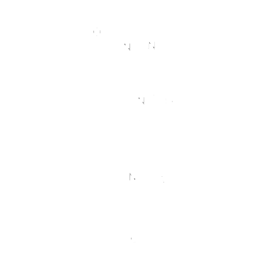 O=C(NC1CCC(c2nc3cc(Cl)ccc3s2)CC1)c1ccnc(N2CCOCC2)c1